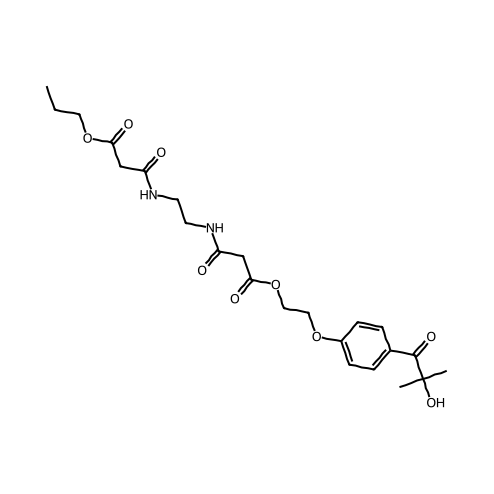 CCCOC(=O)CC(=O)NCCNC(=O)CC(=O)OCCOc1ccc(C(=O)C(C)(C)O)cc1